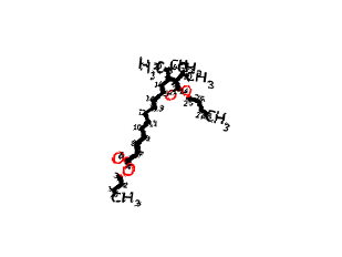 CCCCOC(=O)CCCCCCCCCCC(C(C)C)C(C(=O)OCCCC)C(C)C